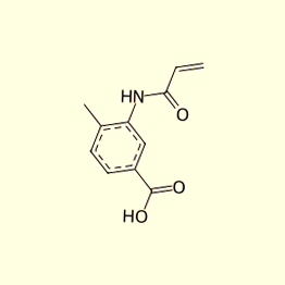 C=CC(=O)Nc1cc(C(=O)O)ccc1C